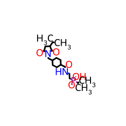 CC(C)C1CC(=O)N(CC2CCC(C(=O)NCCP(=O)(O)C(C)C)CC2)C1=O